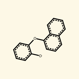 [O]c1ccccc1Oc1cccc2ccccc12